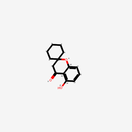 O=C1CC2(CCCCC2)Oc2cccc(O)c21